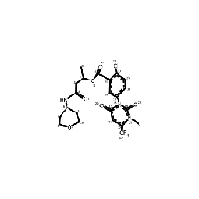 CC(CC(=O)NN1CCOCC1)OC(=O)c1cc(-n2c(=O)cc(C(F)(F)F)n(C)c2=O)ccc1Cl